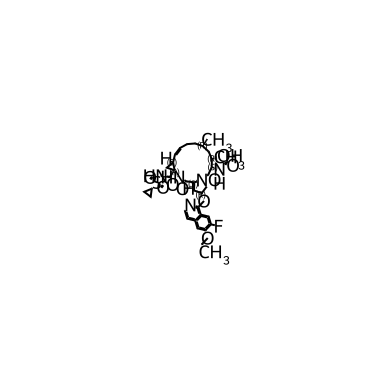 CCOc1cc2ccnc(O[C@@H]3C[C@H]4C(=O)N[C@]5(C(=O)NS(=O)(=O)C6CC6)C[C@H]5C=CCC[C@@H](C)C[C@@H](C)[C@H](NC(=O)O)C(=O)N4C3)c2cc1F